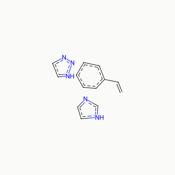 C=Cc1ccccc1.c1c[nH]cn1.c1c[nH]nn1